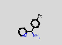 CCc1ccc(C(N)c2ccccn2)cc1